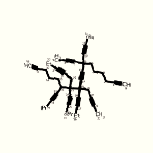 C#CCCC[CH]C(C#CC)(C#CCCCC)C#CC(C#CCC)(CC#CC)C(C#CCCC)(CC#CCC)C(C#CC(C)C)CCCC#C